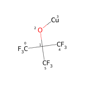 FC(F)(F)C([O][Cu])(C(F)(F)F)C(F)(F)F